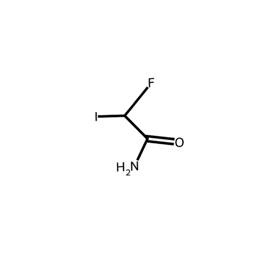 NC(=O)C(F)I